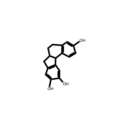 Oc1ccc2c(c1)CCC1Cc3cc(O)c(O)cc3C21